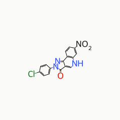 O=c1c2c[nH]c3cc([N+](=O)[O-])ccc3c-2nn1-c1ccc(Cl)cc1